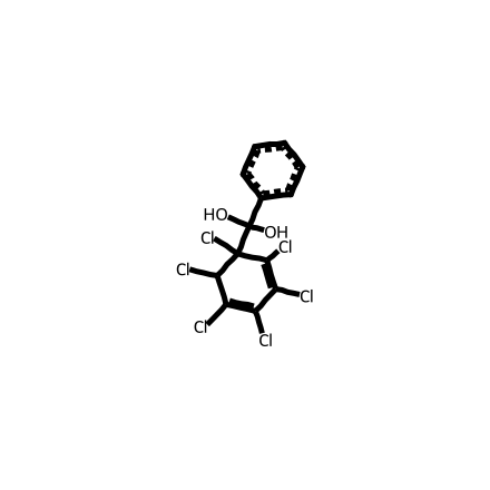 OC(O)(c1ccccc1)C1(Cl)C(Cl)=C(Cl)C(Cl)=C(Cl)C1Cl